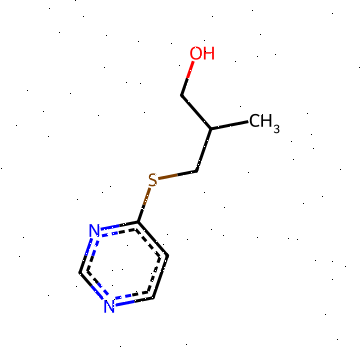 CC(CO)CSc1ccncn1